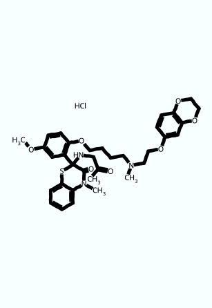 COc1ccc(OCCCCN(C)CCOc2ccc3c(c2)OCCO3)c(C2(NCC(C)=O)Sc3ccccc3N(C)C2=O)c1.Cl